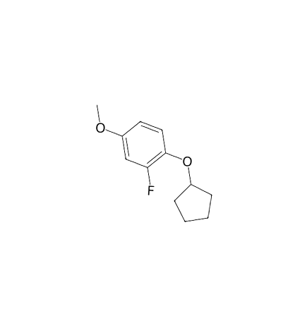 COc1ccc(OC2CCCC2)c(F)c1